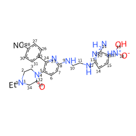 CCN1CCN(c2ccc(NCCNc3ccc([NH+]([O-])O)c(N)n3)nc2-c2ccc(C#N)cc2)C(=O)C1